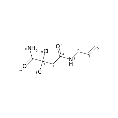 C=CCNC(=O)CC(Cl)(Cl)C(N)=O